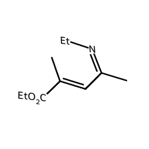 CC/N=C(C)\C=C(/C)C(=O)OCC